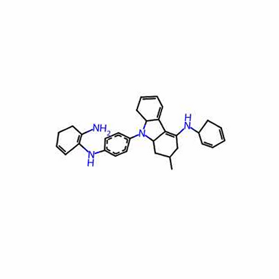 CC1CC(NC2C=CC=CC2)=C2C3=CC=CCC3N(c3ccc(NC4=C(N)CCC=C4)cc3)C2C1